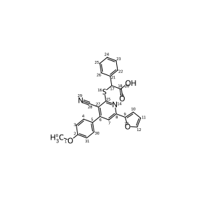 COc1ccc(-c2cc(-c3ccco3)nc(SC(C(=O)O)c3ccccc3)c2C#N)cc1